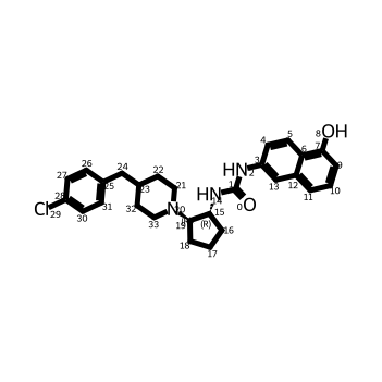 O=C(Nc1ccc2c(O)cccc2c1)N[C@@H]1CCC[C@H]1N1CCC(Cc2ccc(Cl)cc2)CC1